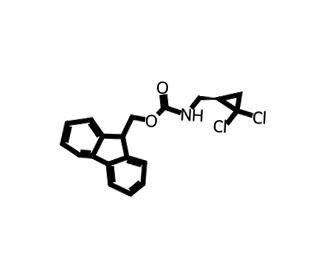 O=C(NC[C@H]1CC1(Cl)Cl)OCC1c2ccccc2-c2ccccc21